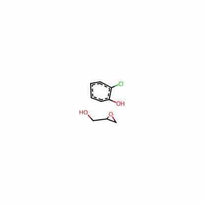 OCC1CO1.Oc1ccccc1Cl